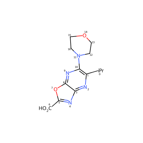 CC(C)c1nc2nc(C(=O)O)oc2nc1N1CCOCC1